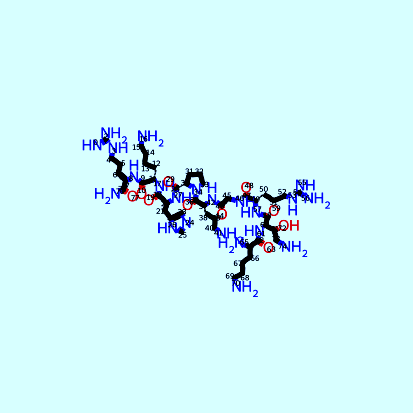 N=C(N)NCC/C=C(\NC(=O)[C@H](CCCCN)NC(=O)C(Cc1cnc[nH]1)NC(=O)[C@@H]1CCCN1C(=O)[C@@H](CCCN)NC(=O)CNC(=O)[C@H](CCCNC(=N)N)NC(=O)[C@H](NC(=O)C(N)CCCCN)C(O)CN)C(N)=O